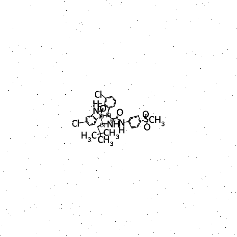 CC(C)(C)C[C@@H]1N[C@@H](C(=O)Nc2ccc(S(C)(=O)=O)cc2)[C@H](c2cccc(Cl)c2F)[C@]12C(=O)Nc1cc(Cl)ccc12